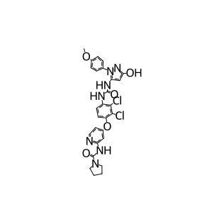 COc1ccc(-n2nc(O)cc2NC(=O)Nc2ccc(Oc3ccnc(NC(=O)N4CCCC4)c3)c(Cl)c2Cl)cc1